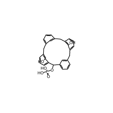 O=P(O)(O)OC1c2cccc(c2)Cc2cccc(c2O)Cc2cccc(c2)Cc2cccc1c2O